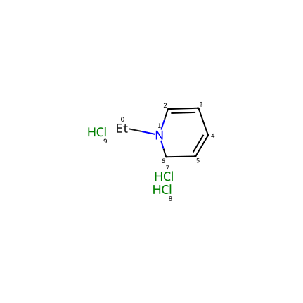 CCN1C=CC=CC1.Cl.Cl.Cl